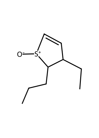 CCCC1C(CC)C=C[S+]1[O-]